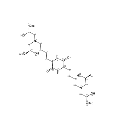 CCCCCCCCCC[C@@H](O)CN(CCCCC1NC(=O)C(CCCCN(C[C@@H](O)CCCCCCCCCC)C[C@H](C)O)NC1=O)C[C@@H](O)CCCCCCCCCC